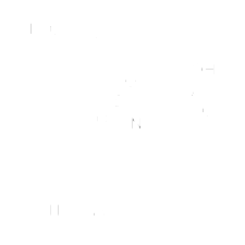 COc1ccc(N(CCC(=O)O)S(=O)(=O)c2ccc(C)cc2)cc1